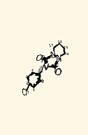 O=c1n(-c2ccc(Cl)cc2)c(=O)n2n1CCCC2